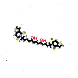 CC(C)(CCCC(O)CCCC(O)CCCC(C)(C)N1C(=S)C=C2SCCC2C1=S)C1C(=S)C=C2SCCC2C1=S